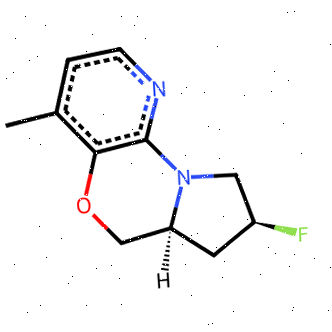 Cc1ccnc2c1OC[C@@H]1C[C@H](F)CN21